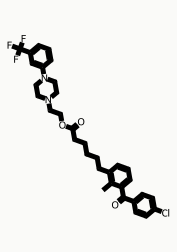 Cc1c(CCCCCC(=O)OCCN2CCN(c3cccc(C(F)(F)F)c3)CC2)cccc1C(=O)c1ccc(Cl)cc1